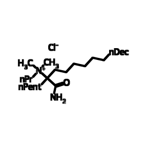 CCCCCCCCCCCCCCCCC(CCCCC)(C(N)=O)[N+](C)(C)CCC.[Cl-]